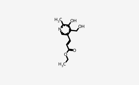 CCOC(=O)/C=C/c1cnc(C)c(O)c1CO